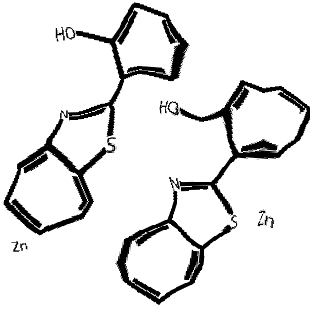 Oc1ccccc1-c1nc2ccccc2s1.Oc1ccccc1-c1nc2ccccc2s1.[Zn].[Zn]